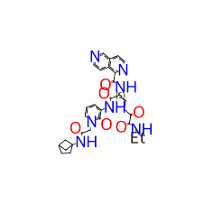 CCNC(=O)C(=O)CC[C@H](NC(=O)c1nccc2cnccc12)C(=O)Nc1cccn(CC(=O)NC23CCC(C2)C3)c1=O